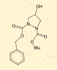 CC(C)(C)OC(=O)N1CC(O)CN1C(=O)OCc1ccccc1